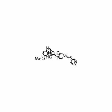 COc1ccc2nccc([C@H](O)CC[C@@H]3CCN(CCSc4ccnnc4)C[C@@H]3C(=O)O)c2c1